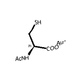 CC(=O)N[C@@H](CS)C(=O)[O-].[Au+]